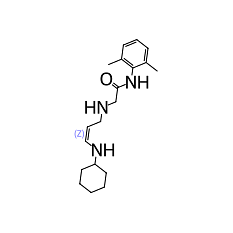 Cc1cccc(C)c1NC(=O)CNC/C=C\NC1CCCCC1